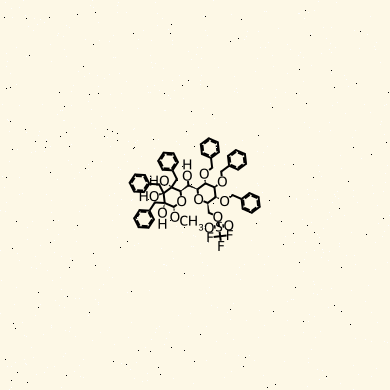 CO[C@H]1O[C@H](C(O)[C@@H]2O[C@H](COS(=O)(=O)C(F)(F)F)[C@@H](OCc3ccccc3)[C@H](OCc3ccccc3)[C@H]2OCc2ccccc2)[C@](O)(Cc2ccccc2)[C@@](O)(Cc2ccccc2)[C@]1(O)Cc1ccccc1